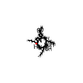 CCCCCCc1c2nc(c(-c3ccc(C(=O)OC)cc3)c3ccc([nH]3)c(CCCCCC)c3nc(c(CCCCCC)c4ccc1[nH]4)[C@H](O)[C@@H]3O)CCC2